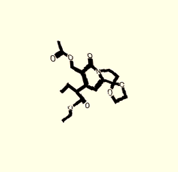 CCOC(=O)C(CC)c1cc2n(c(=O)c1COC(C)=O)CCC21OCCO1